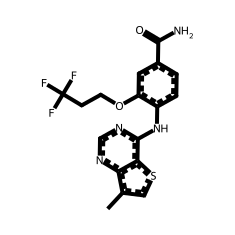 Cc1csc2c(Nc3ccc(C(N)=O)cc3OCCC(F)(F)F)ncnc12